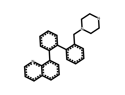 c1ccc(-c2ccccc2-c2cccc3cccnc23)c(CN2CC[N]CC2)c1